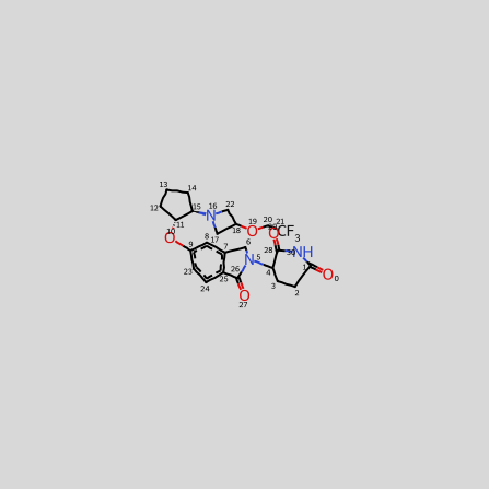 O=C1CCC(N2Cc3cc(O[C@@H]4CCC[C@H]4N4CC(OCC(F)(F)F)C4)ccc3C2=O)C(=O)N1